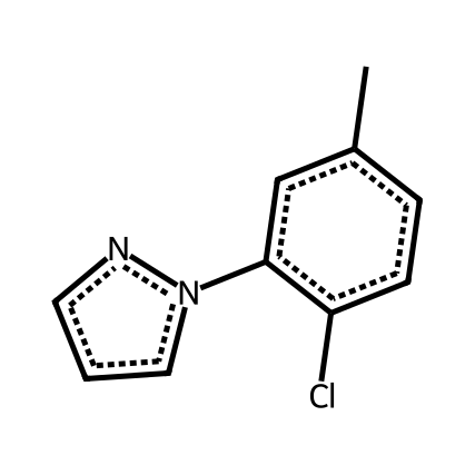 Cc1ccc(Cl)c(-n2cccn2)c1